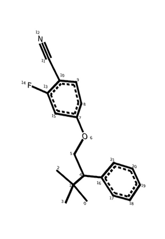 CC(C)(C)C(COc1ccc(C#N)c(F)c1)c1ccccc1